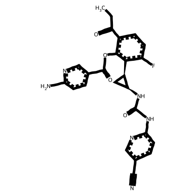 CCC(=O)c1ccc(F)c([C@@H]2C[C@@H]2NC(=O)Nc2ccc(C#N)cn2)c1OC(=O)c1ccc(N)nc1